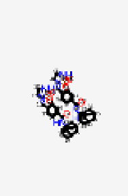 O=C(NC12CC3CC(CC(C3)C1)C2)c1ccc(CN2CCNS2(=O)=O)cc1.O=C(NC1C2CC3CC(C2)CC1C3)c1ccc(CN2CCNS2(=O)=O)cc1